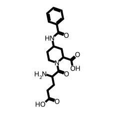 NC(CCC(=O)O)C(=O)N1CCC(NC(=O)c2ccccc2)CC1C(=O)O